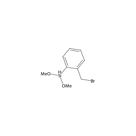 CO[SiH](OC)c1ccccc1CBr